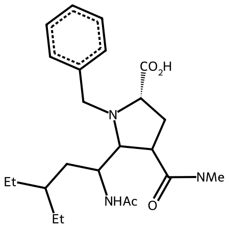 CCC(CC)CC(NC(C)=O)C1C(C(=O)NC)C[C@@H](C(=O)O)N1Cc1ccccc1